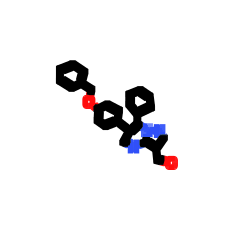 O=Cc1cnn2c(-c3ccccc3)c(-c3ccc(OCc4ccccc4)cc3)cnc12